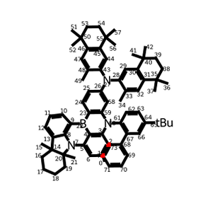 Cc1cc2c3c(c1)N1c4c(cccc4C4(C)CCCCC14C)B3c1ccc(N(c3cc4c(cc3C)C(C)(C)CCC4(C)C)c3cc4c(cc3C)C(C)(C)CCC4(C)C)cc1N2c1ccc(C(C)(C)C)cc1-c1ccccc1